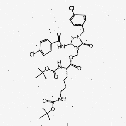 CC(C)(C)OC(=O)NCCCCC(NC(=O)OC(C)(C)C)C(=O)OCN1C(=O)N(Cc2ccc(Cl)cc2)SC1NC(=O)c1ccc(Cl)cc1